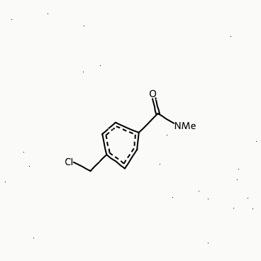 CNC(=O)c1ccc(CCl)cc1